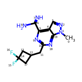 Cn1ncc2c(C(=N)N)nc(CC3CC(F)(F)C3)nc21